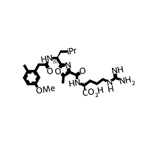 COc1ccc(C)c(CC(=O)N[C@@H](CC(C)C)c2nc(C(=O)N[C@@H](CCCNC(=N)N)C(=O)O)c(C)o2)c1